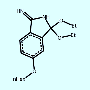 CCCCCCOc1ccc2c(c1)C(OCC)(OCC)NC2=N